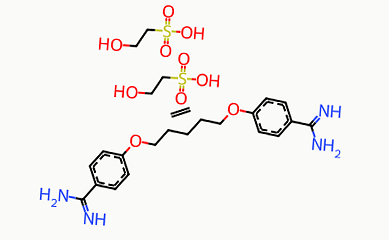 C=C.N=C(N)c1ccc(OCCCCCOc2ccc(C(=N)N)cc2)cc1.O=S(=O)(O)CCO.O=S(=O)(O)CCO